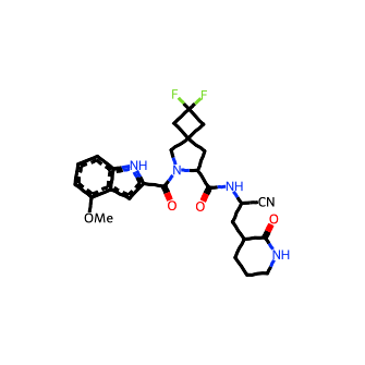 COc1cccc2[nH]c(C(=O)N3CC4(CC3C(=O)NC(C#N)CC3CCCNC3=O)CC(F)(F)C4)cc12